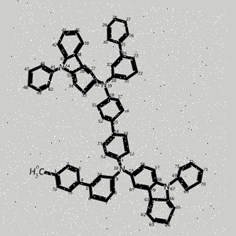 Cc1ccc(-c2cccc(N(c3ccc(-c4ccc(N(c5cccc(C6=CCCC=C6)c5)c5ccc6c(c5)c5ccccc5n6-c5ccccc5)cc4)cc3)c3ccc4c(c3)c3ccccc3n4-c3ccccc3)c2)cc1